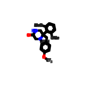 COc1cccc(OC)c1C1(Cc2ccc(OC(F)(F)F)cc2)CNC(=O)CN1C(=O)O